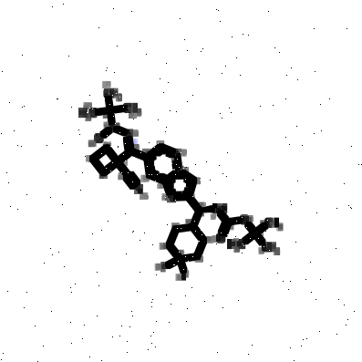 CC(C)(C)OC(=O)N[C@H](c1cn2ncc(/C(=N/[S+]([O-])C(C)(C)C)C3(C#N)CCC3)cc2n1)C1CCC(F)(F)CC1